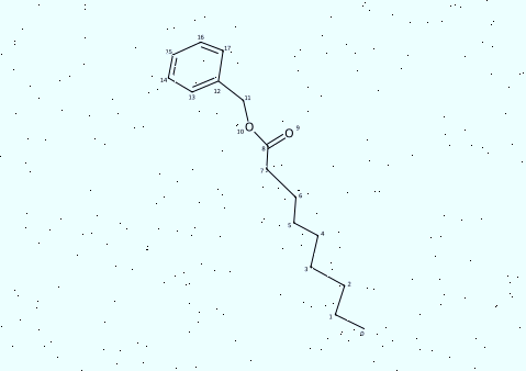 CCCCCCC[CH]C(=O)OCc1ccccc1